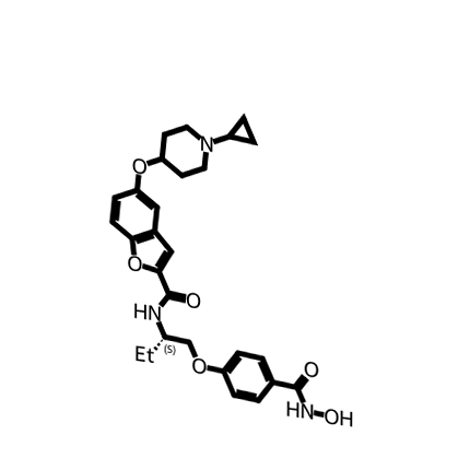 CC[C@@H](COc1ccc(C(=O)NO)cc1)NC(=O)c1cc2cc(OC3CCN(C4CC4)CC3)ccc2o1